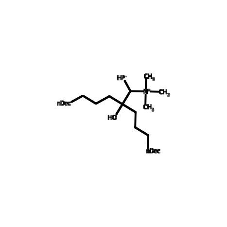 CCCCCCCCCCCCCC(O)(CCCCCCCCCCCCC)C([PH-])[N+](C)(C)C